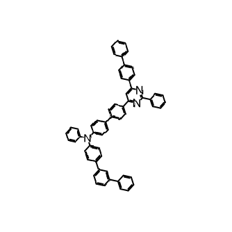 c1ccc(-c2ccc(-c3cc(-c4ccc(-c5ccc(N(c6ccccc6)c6ccc(-c7cccc(-c8ccccc8)c7)cc6)cc5)cc4)nc(-c4ccccc4)n3)cc2)cc1